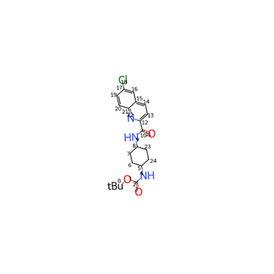 CC(C)(C)OC(=O)NC1CCC(NC(=O)c2ccc3cc(Cl)ccc3n2)CC1